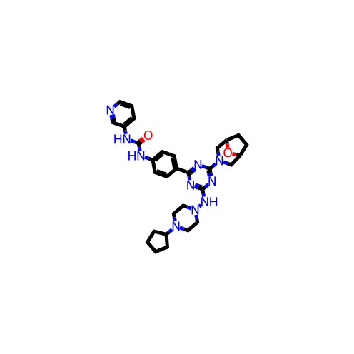 O=C(Nc1ccc(-c2nc(NN3CCN(C4CCCC4)CC3)nc(N3CC4CCC(C3)O4)n2)cc1)Nc1cccnc1